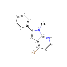 Cn1c(-c2ccccc2)cc2c(S)ccnc21